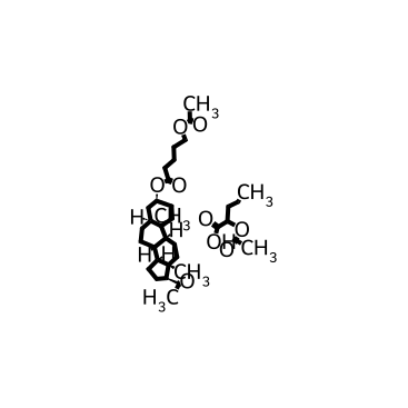 CC(=O)OCCCCC(=O)O[C@@H]1CC[C@@]2(C)[C@@H](CC[C@@H]3[C@@H]2CC[C@]2(C)[C@@H](C(C)=O)CC[C@@H]32)C1.CCCC(OC(C)=O)C(=O)O